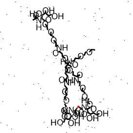 CCOCCOCCC(=O)NC(COCCC(=O)NCCOCCOCCOC1OC(CO)C(O)C(O)C1NC(C)=O)(COCCC(=O)NCCOCCOCCOC1OC(CO)C(O)C(O)C1NC(C)=O)COCCC(=O)NCCOCCOCCOC1OC(CO)C(O)C(O)C1NC(C)=O